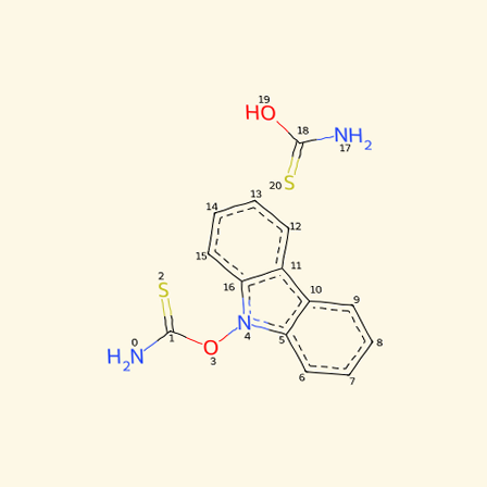 NC(=S)On1c2ccccc2c2ccccc21.NC(O)=S